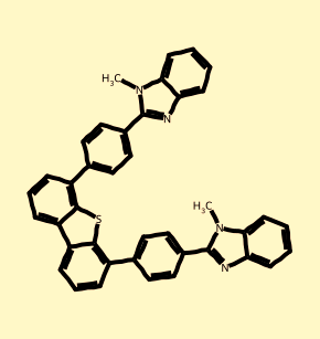 Cn1c(-c2ccc(-c3cccc4c3sc3c(-c5ccc(-c6nc7ccccc7n6C)cc5)cccc34)cc2)nc2ccccc21